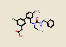 CCN(Cc1cc(C)ccc1-c1cc(Cl)cc(CC(=O)O)c1)C(=O)NCc1ccccc1